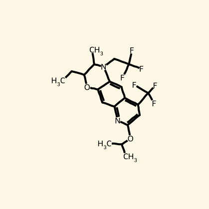 CCC1Oc2cc3nc(OC(C)C)cc(C(F)(F)F)c3cc2N(CC(F)(F)F)C1C